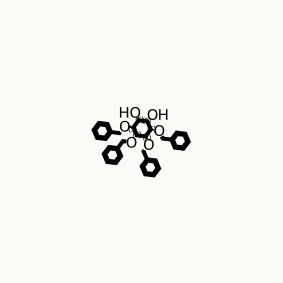 O[C@H]1[C@H](O)[C@H](OCc2ccccc2)[C@@H](OCc2ccccc2)[C@H](OCc2ccccc2)[C@H]1OCc1ccccc1